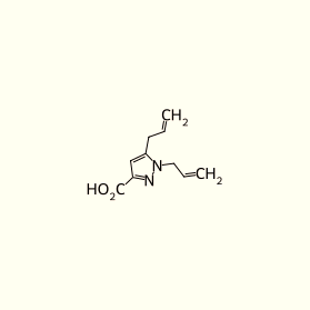 C=CCc1cc(C(=O)O)nn1CC=C